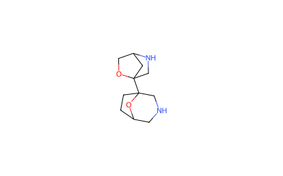 C1OC2(C34CCC(CNC3)O4)CNC1C2